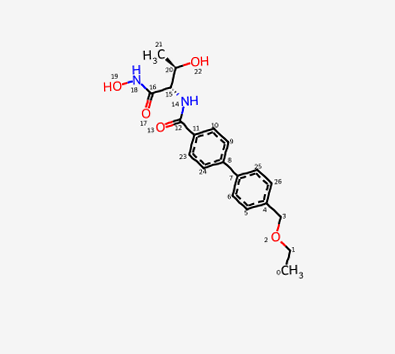 CCOCc1ccc(-c2ccc(C(=O)N[C@H](C(=O)NO)[C@@H](C)O)cc2)cc1